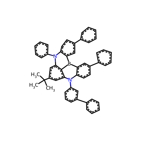 CC(C)(C)c1cc2c3c(c1)N(c1cccc(-c4ccccc4)c1)c1ccc(-c4ccccc4)cc1B3c1cc(-c3ccccc3)ccc1N2c1ccccc1